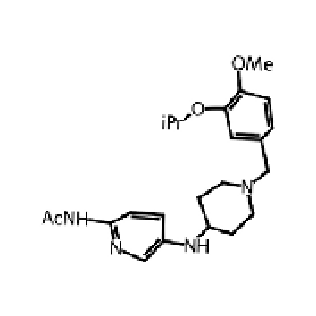 COc1ccc(CN2CCC(Nc3ccc(NC(C)=O)nc3)CC2)cc1OC(C)C